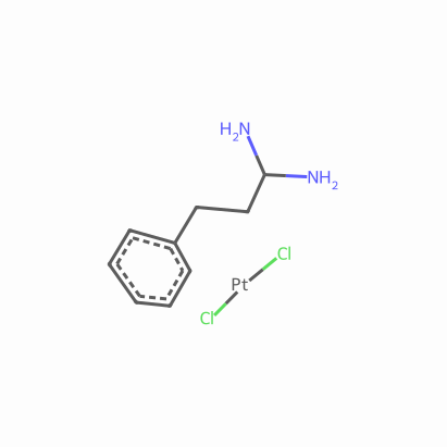 NC(N)CCc1ccccc1.[Cl][Pt][Cl]